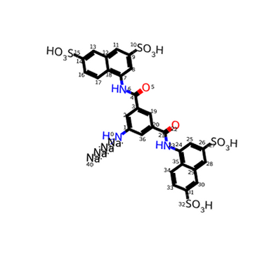 Nc1cc(C(=O)Nc2cc(S(=O)(=O)O)cc3cc(S(=O)(=O)O)ccc23)cc(C(=O)Nc2cc(S(=O)(=O)O)cc3cc(S(=O)(=O)O)ccc23)c1.[Na].[Na].[Na].[Na]